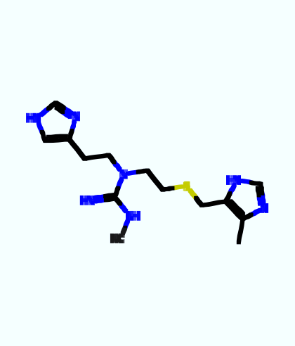 Cc1nc[nH]c1CSCCN(CCc1c[nH]cn1)C(=N)NC#N